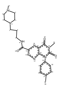 CN1CCN(CCCNC(=O)c2nnc3c(n2)c(=O)n(C)c(=O)n3-c2ccc(F)cc2)CC1